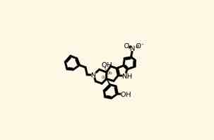 O=[N+]([O-])c1ccc2[nH]c3c(c2c1)C[C@]1(O)CN(CCc2ccccc2)CC[C@@]1(c1cccc(O)c1)C3